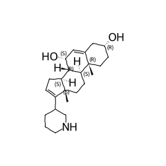 C[C@]12CC[C@@H](O)CC1=C[C@@H](O)[C@@H]1[C@@H]2CC[C@]2(C)C(C3CCCNC3)=CC[C@@H]12